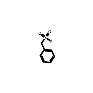 O=S(=O)(F)Cc1cc[c]cc1